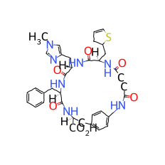 Cn1cnc(C[C@@H]2NC(=O)[C@@H](CC3CC=CS3)NC(=O)CCC(=O)Nc3ccc(cc3)C[C@@H](C(=O)O)NC(=O)[C@@H](Cc3ccccc3)NC2=O)c1